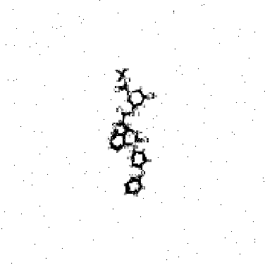 CC(C)(C)OC(=O)N1CC(O)CC(NC(=O)c2sc3nccc4c3c2NC(=O)N4c2ccc(Oc3ccccc3)cc2)C1